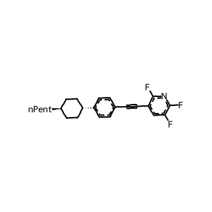 CCCCC[C@H]1CC[C@H](c2ccc(C#Cc3cc(F)c(F)nc3F)cc2)CC1